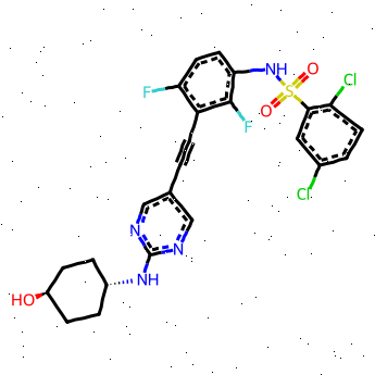 O=S(=O)(Nc1ccc(F)c(C#Cc2cnc(N[C@H]3CC[C@H](O)CC3)nc2)c1F)c1cc(Cl)ccc1Cl